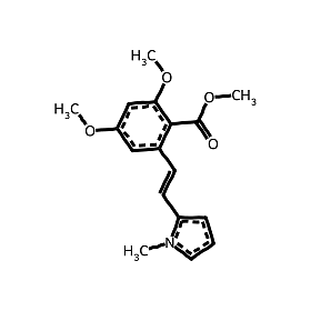 COC(=O)c1c(/C=C/c2cccn2C)cc(OC)cc1OC